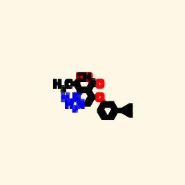 CC(C)/C(N)=C(C(=O)O)/C(=C\N)Oc1cccc(C2CC2)c1